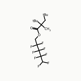 CC(C)(C)CC(C)(C(=O)OCC(F)(F)C(F)(F)C(F)(F)C(F)F)C(C)(C)C